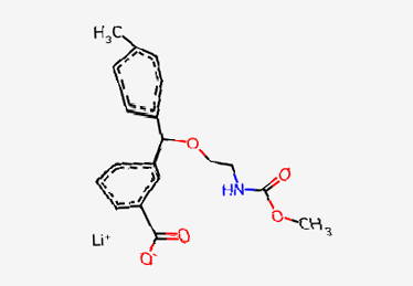 COC(=O)NCCOC(c1ccc(C)cc1)c1cccc(C(=O)[O-])c1.[Li+]